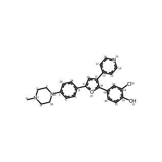 CN1CCN(c2ccc(-c3cc(-c4ccncc4)c(-c4ccc(O)c(Cl)c4)o3)cc2)CC1